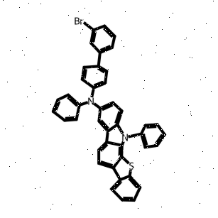 Brc1cccc(-c2ccc(N(c3ccccc3)c3ccc4c(c3)c3ccc5c6ccccc6sc5c3n4-c3ccccc3)cc2)c1